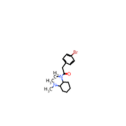 CN(C)C1CCCCC1N(C)C(=O)Cc1ccc(Br)cc1